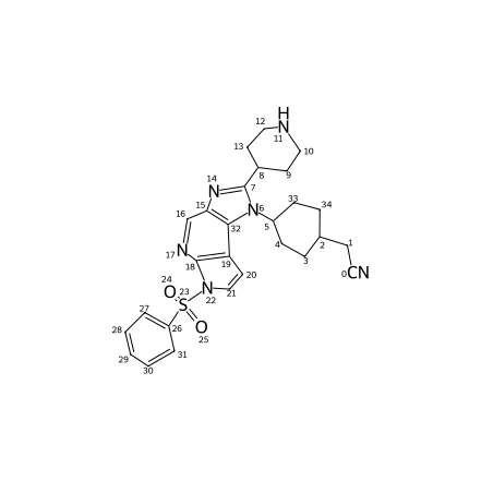 N#CCC1CCC(n2c(C3CCNCC3)nc3cnc4c(ccn4S(=O)(=O)c4ccccc4)c32)CC1